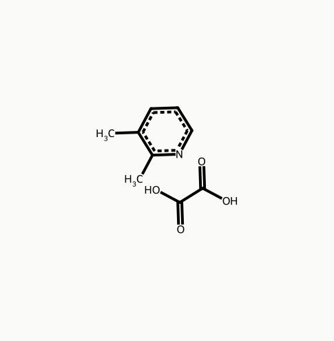 Cc1cccnc1C.O=C(O)C(=O)O